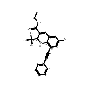 CCOC(=O)C1=Cc2cc(Cl)cc(C#Cc3ccccc3)c2OC1C(F)(F)F